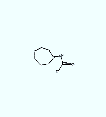 O=C(Cl)NN1CCCCCC1